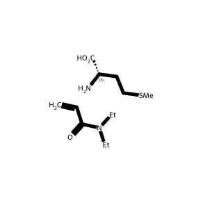 C=CC(=O)N(CC)CC.CSCC[C@H](N)C(=O)O